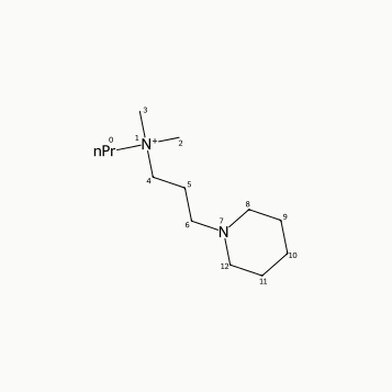 CCC[N+](C)(C)CCCN1CCCCC1